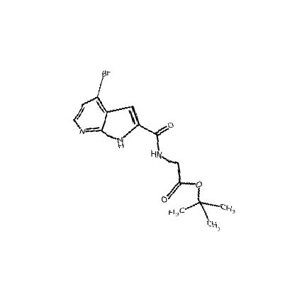 CC(C)(C)OC(=O)CNC(=O)c1cc2c(Br)ccnc2[nH]1